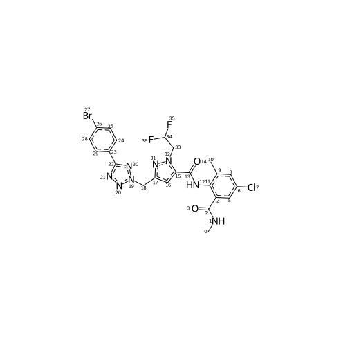 CNC(=O)c1cc(Cl)cc(C)c1NC(=O)c1cc(Cn2nnc(-c3ccc(Br)cc3)n2)nn1CC(F)F